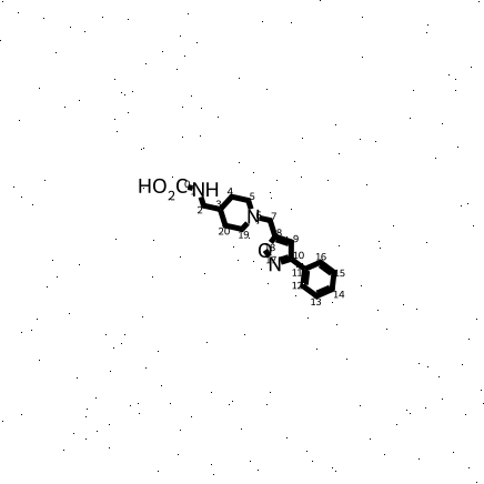 O=C(O)NCC1CCN(Cc2cc(-c3ccccc3)no2)CC1